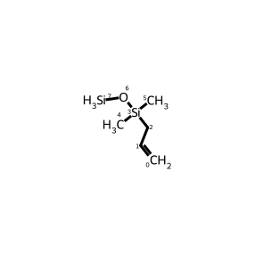 C=CC[Si](C)(C)O[SiH3]